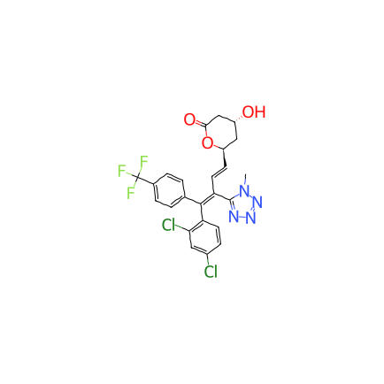 Cn1nnnc1C(/C=C/[C@@H]1C[C@@H](O)CC(=O)O1)=C(/c1ccc(C(F)(F)F)cc1)c1ccc(Cl)cc1Cl